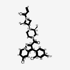 C=CC(=O)N1C[C@@H](N2CCN(C(=O)c3nn4ccc(Cl)cc4c3-c3ccc(F)cc3Cl)C[C@@H]2C)[C@H]1C